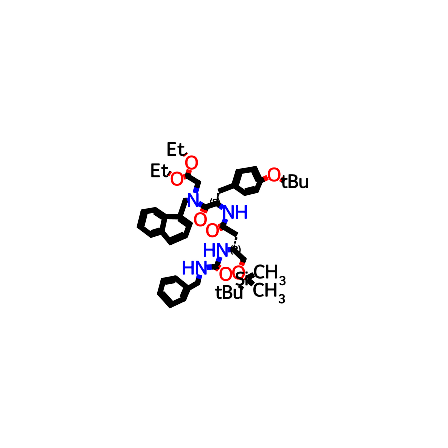 CCOC(CN(Cc1cccc2ccccc12)C(=O)[C@H](Cc1ccc(OC(C)(C)C)cc1)NC(=O)C[C@H](CO[Si](C)(C)C(C)(C)C)NC(=O)NCc1ccccc1)OCC